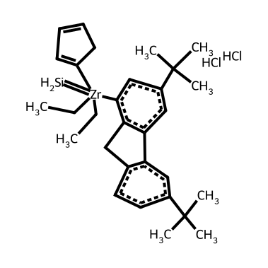 C[CH2][Zr](=[SiH2])([CH2]C)([C]1=CC=CC1)[c]1cc(C(C)(C)C)cc2c1Cc1ccc(C(C)(C)C)cc1-2.Cl.Cl